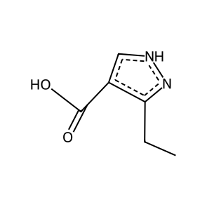 CCc1n[nH]cc1C(=O)O